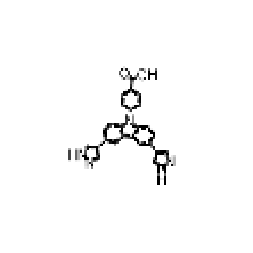 O=C(O)c1ccc(-n2c3ccc(-c4cn[nH]c4)cc3c3cc(-c4cn[nH]c4)ccc32)cc1